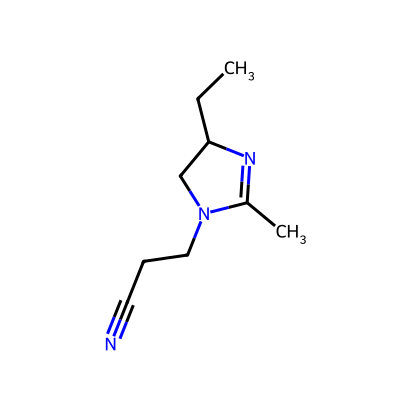 CCC1CN(CCC#N)C(C)=N1